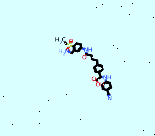 CCS(=O)(=O)c1ccc(NC(=O)CCCc2ccc(C(Nc3ccc(C#N)cc3)C(=O)O)cc2)cc1CN